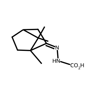 CC12CCC(CC1=NNC(=O)O)C2(C)C